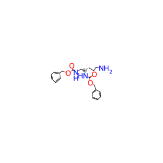 NCCC[C@@H](CNC(=O)OCc1ccccc1)NC(=O)OCc1ccccc1